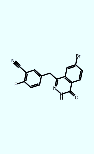 N#Cc1cc(Cc2n[nH]c(=O)c3ccc(Br)cc23)ccc1F